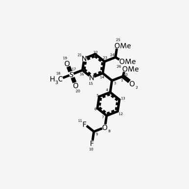 COC(=O)C(c1ccc(OC(F)F)cc1)c1nc(S(C)(=O)=O)ncc1C(OC)OC